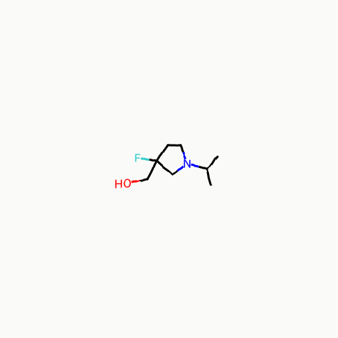 CC(C)N1CCC(F)(CO)C1